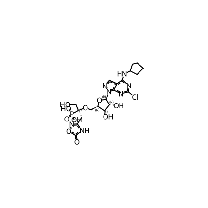 O=c1[nH]c(C[C@](CO)(OC[C@H]2O[C@@H](n3ncc4c(NC5CCCC5)nc(Cl)nc43)[C@H](O)[C@@H]2O)P(=O)(O)O)no1